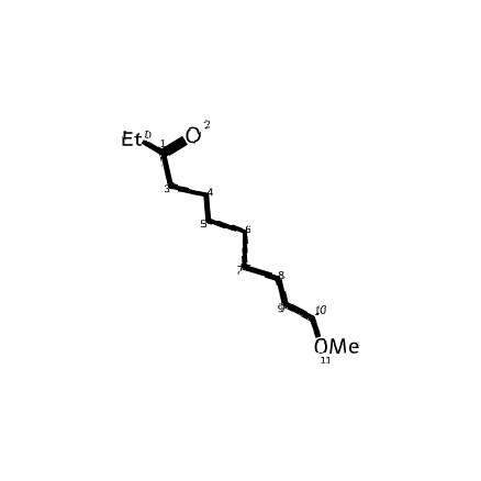 CCC(=O)CCCCCCCCOC